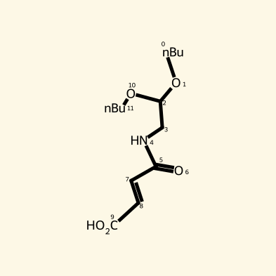 CCCCOC(CNC(=O)C=CC(=O)O)OCCCC